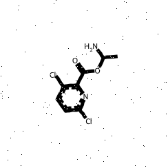 CC(N)OC(=O)c1nc(Cl)ccc1Cl